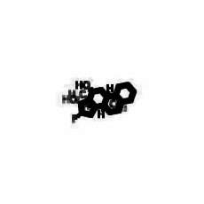 C[C@]12C(O)C[C@H]3[C@@H](CC=C4CCCC[C@@]43C)[C@@H]1C[C@@H](F)[C@@H]2O